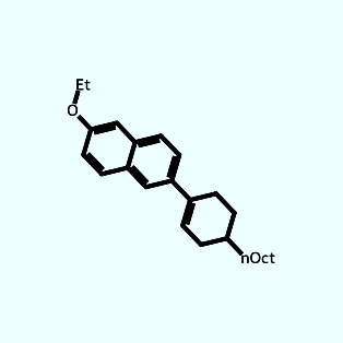 CCCCCCCCC1CC=C(c2ccc3cc(OCC)ccc3c2)CC1